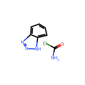 NC(=O)Cl.c1ccc2[nH]nnc2c1